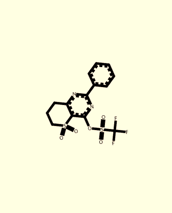 O=S1(=O)CCCc2nc(-c3ccccc3)nc(OS(=O)(=O)C(F)(F)F)c21